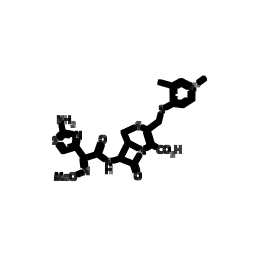 CON=C(C(=O)NC1C(=O)N2C(C(=O)O)=C(CSc3cc[n+](C)cc3C)SCC12)c1csc(N)n1